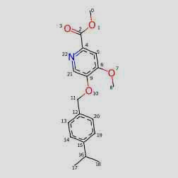 COC(=O)c1cc(OC)c(OCc2ccc(C(C)C)cc2)cn1